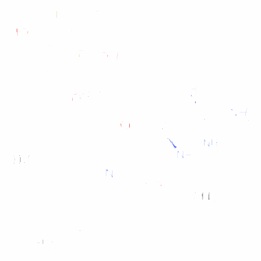 CCCCN(CCCC)C(=O)[C@@H]1OC(C(=O)O)=C[C@H](NC(=N)N)[C@H]1NC(C)=O.O=C(O)C(F)(F)F